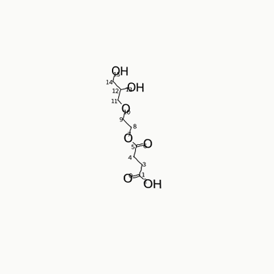 O=C(O)CCC(=O)OCCOCC(O)CO